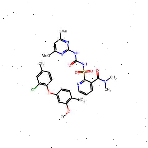 CCOc1cc(Oc2ccc(C(F)(F)F)cc2Cl)ccc1[N+](=O)[O-].COc1cc(OC)nc(NC(=O)NS(=O)(=O)c2ncccc2C(=O)N(C)C)n1